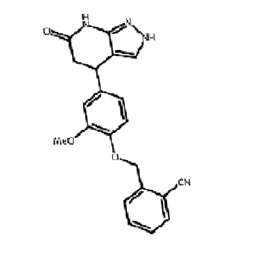 COc1cc(C2CC(=O)Nc3n[nH]cc32)ccc1OCc1ccccc1C#N